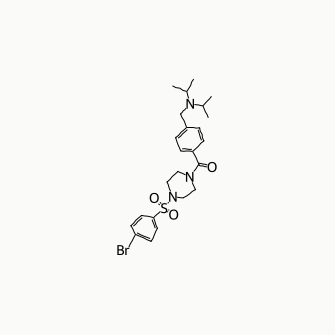 CC(C)N(Cc1ccc(C(=O)N2CCN(S(=O)(=O)c3ccc(Br)cc3)CC2)cc1)C(C)C